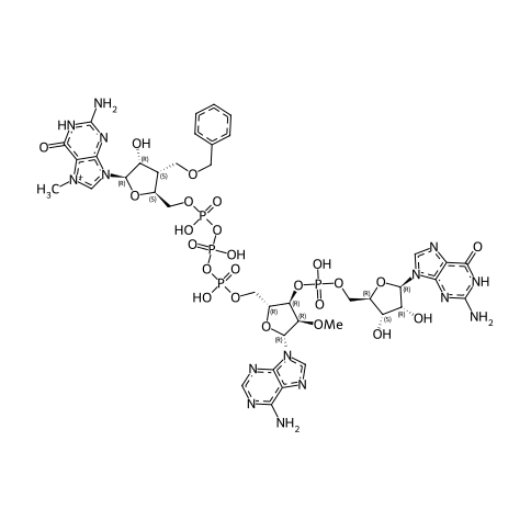 CO[C@@H]1[C@H](OP(=O)(O)OC[C@H]2O[C@@H](n3cnc4c(=O)[nH]c(N)nc43)[C@H](O)[C@@H]2O)[C@@H](COP(=O)(O)OP(=O)(O)OP(=O)(O)OC[C@H]2O[C@@H](n3c[n+](C)c4c(=O)[nH]c(N)nc43)[C@H](O)[C@@H]2COCc2ccccc2)O[C@H]1n1cnc2c(N)ncnc21